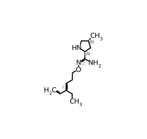 C=C/C(=C/CCO/N=C(\N)[C@@H]1C[C@H](C)CN1)CC